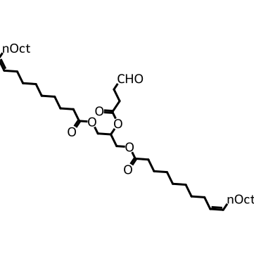 CCCCCCCC/C=C\CCCCCCCC(=O)OCC(COC(=O)CCCCCCC/C=C\CCCCCCCC)OC(=O)CCC=O